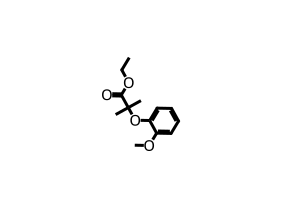 CCOC(=O)C(C)(C)Oc1ccccc1OC